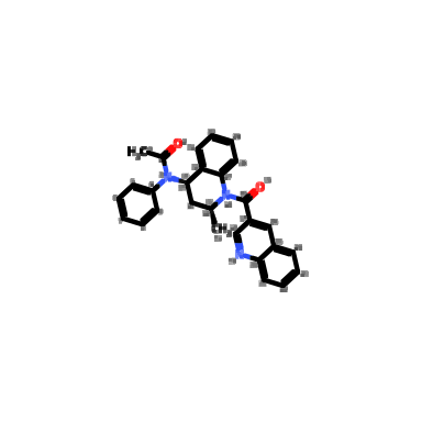 CC(=O)N(c1ccccc1)[C@@H]1C[C@H](C)N(C(=O)c2cnc3ccccc3c2)c2ccccc21